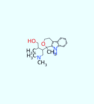 CC(CO)C(CN(C)C)C1(C)OCCc2c1[nH]c1ccccc21